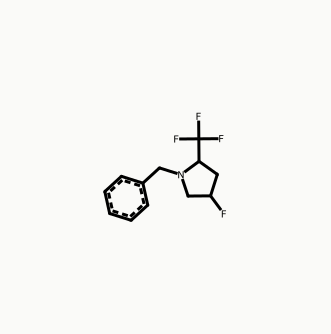 FC1CC(C(F)(F)F)N(Cc2ccccc2)C1